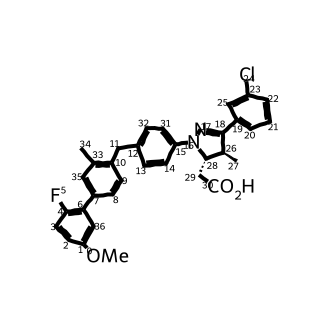 COc1ccc(F)c(-c2ccc(Cc3ccc(N4N=C(c5cccc(Cl)c5)[C@@H](C)[C@@H]4CC(=O)O)cc3)c(C)c2)c1